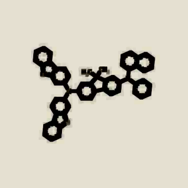 CC1(C)c2cc(N(c3ccc4c(c3)oc3ccccc34)c3ccc4c(c3)oc3ccccc34)ccc2-c2ccc(N(c3ccccc3)c3cccc4ccccc34)cc21